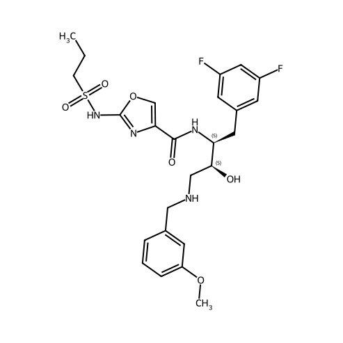 CCCS(=O)(=O)Nc1nc(C(=O)N[C@@H](Cc2cc(F)cc(F)c2)[C@@H](O)CNCc2cccc(OC)c2)co1